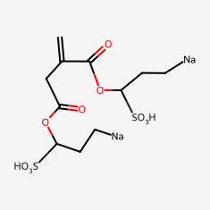 C=C(CC(=O)OC(C[CH2][Na])S(=O)(=O)O)C(=O)OC(C[CH2][Na])S(=O)(=O)O